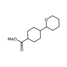 COC(=O)C1CCC(C2CCCCO2)CC1